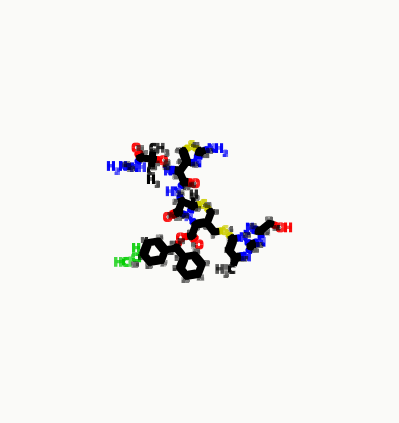 Cc1cc(SCC2=C(C(=O)OC(c3ccccc3)c3ccccc3)N3C(=O)C(NC(=O)C(=NOC(C)(C)C(=O)NN)c4csc(N)n4)[C@@H]3SC2)n2nc(CO)nc2n1.Cl.Cl